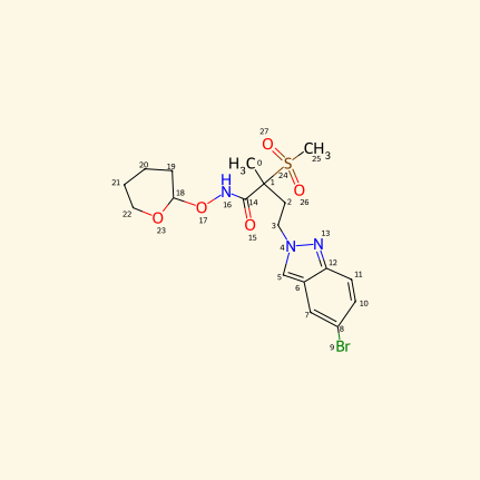 CC(CCn1cc2cc(Br)ccc2n1)(C(=O)NOC1CCCCO1)S(C)(=O)=O